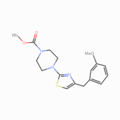 COc1cccc(Cc2csc(N3CCN(C(=O)OC(C)(C)C)CC3)n2)c1